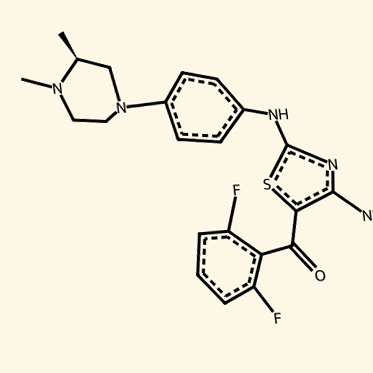 C[C@H]1CN(c2ccc(Nc3nc(N)c(C(=O)c4c(F)cccc4F)s3)cc2)CCN1C